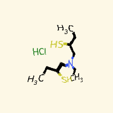 CCC(S)CN(CC)CC(S)CC.Cl